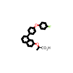 C[C@@H](Oc1ccc2cccc(-c3ccc(Oc4ccc(F)cc4)cc3)c2c1)C(=O)O